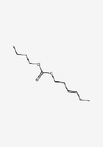 CCC=CCCOC(=O)OCCCC